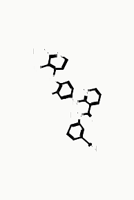 N#Cc1cccc(NC(=O)c2cccnc2Nc2ccc(Oc3ccnc(N)c3Cl)c(F)c2)c1